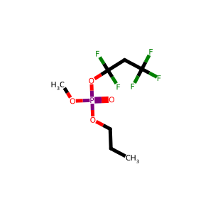 CCCOP(=O)(OC)OC(F)(F)CC(F)(F)F